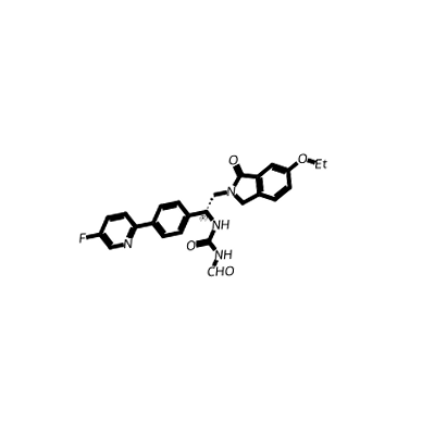 CCOc1ccc2c(c1)C(=O)N(C[C@H](NC(=O)NC=O)c1ccc(-c3ccc(F)cn3)cc1)C2